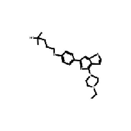 CCN1CCN(c2nc(-c3ccc(OCCCC(C)(C)O)cc3)cc3sccc23)CC1